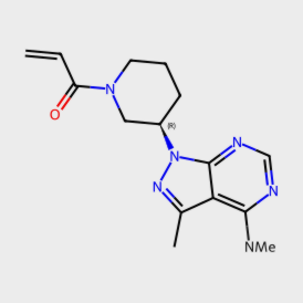 C=CC(=O)N1CCC[C@@H](n2nc(C)c3c(NC)ncnc32)C1